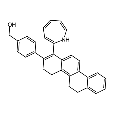 OCc1ccc(C2=C(C3=CC=CC=CN3)c3ccc4c(c3CC2)CCc2ccccc2-4)cc1